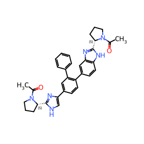 CC(=O)N1CCC[C@H]1c1nc(-c2ccc(-c3ccc4[nH]c([C@@H]5CCCN5C(C)=O)nc4c3)c(-c3ccccc3)c2)c[nH]1